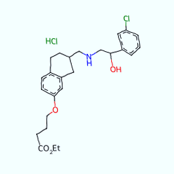 CCOC(=O)CCCOc1ccc2c(c1)CC(CNCC(O)c1cccc(Cl)c1)CC2.Cl